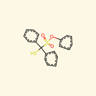 O=S(=O)(Oc1ccccc1)C(S)(c1ccccc1)c1ccccc1